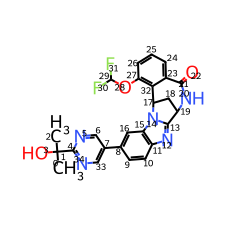 CC(C)(O)c1ncc(-c2ccc3nc4n(c3c2)C2CC4NC(=O)c3cccc(OC(F)F)c32)cn1